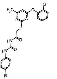 CCc1ccc(NC(=O)NC(=O)CSc2nc(Oc3ccccc3Cl)cc(C(F)(F)F)n2)cc1